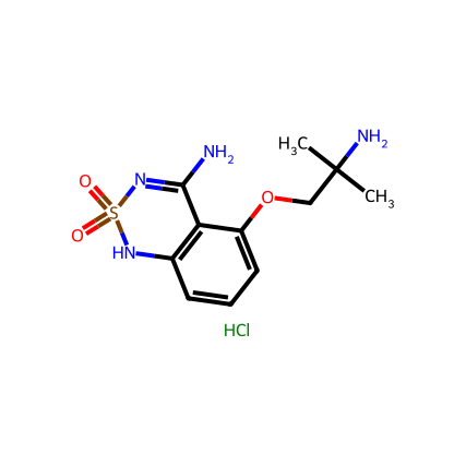 CC(C)(N)COc1cccc2c1C(N)=NS(=O)(=O)N2.Cl